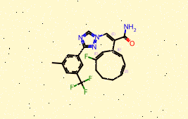 Cc1cc(-c2ncn(\C=C(C(N)=O)/C3=C/C=C\CCC/C(F)=C\3)n2)cc(C(F)(F)F)c1